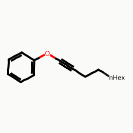 CCCCCCCCC#COc1ccccc1